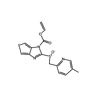 C=COC(=O)n1c([S+]([O-])Cc2ccc(C)cn2)nc2cscc21